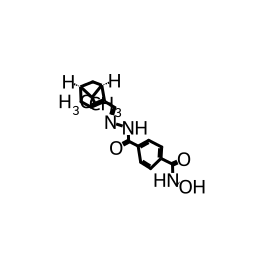 CC1(C)[C@H]2CC=C(/C=N/NC(=O)c3ccc(C(=O)NO)cc3)[C@@H]1C2